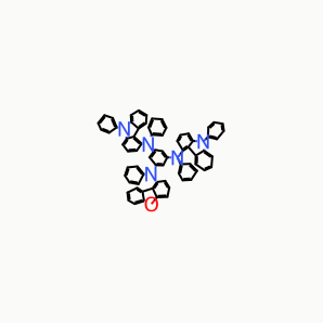 c1ccc(N(c2cc(N(c3ccccc3)c3cccc4c3c3ccccc3n4-c3ccccc3)cc(N(c3ccccc3)c3cccc4c3c3ccccc3n4-c3ccccc3)c2)c2cccc3oc4ccccc4c23)cc1